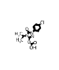 CC(C)n1c(OC(=O)O)nn(-c2ccc(Cl)cc2)c1=O